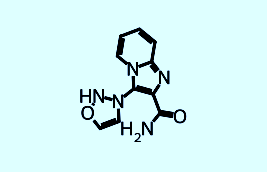 NC(=O)c1nc2ccccn2c1N1C=CON1